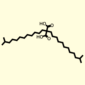 CC(C)CCCCCCCCCCC(CCCCCCCCCCC(C)C)(C(=O)O)C(=O)O